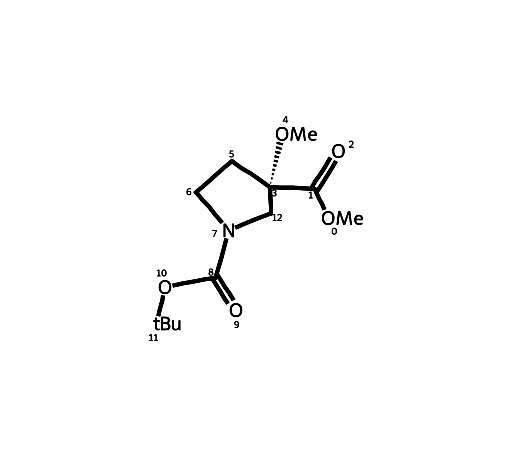 COC(=O)[C@]1(OC)CCN(C(=O)OC(C)(C)C)C1